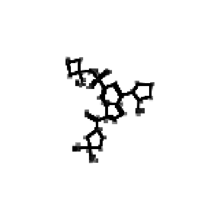 CC1(NS(=O)(=O)c2cc(C3CCCC3O)c3cnc(C(=O)N4CCC(O)(C(F)(F)F)C4)n3c2)COC1